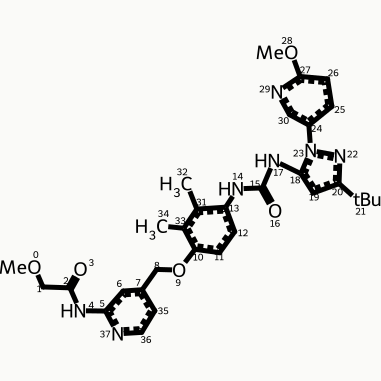 COCC(=O)Nc1cc(COc2ccc(NC(=O)Nc3cc(C(C)(C)C)nn3-c3ccc(OC)nc3)c(C)c2C)ccn1